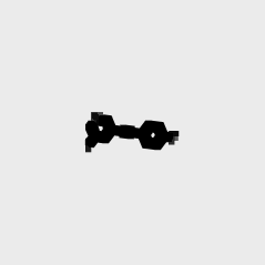 Fc1ccc(C#Cc2cncc(I)c2)cc1